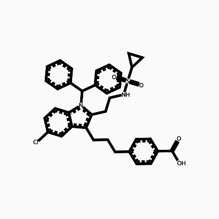 O=C(O)c1ccc(CCCc2c(CCNS(=O)(=O)C3CC3)n(C(c3ccccc3)c3ccccc3)c3ccc(Cl)cc23)cc1